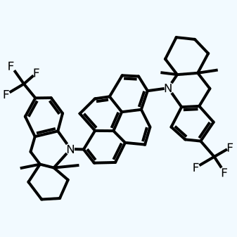 CC12CCCCC1(C)N(c1ccc3ccc4c(N5c6ccc(C(F)(F)F)cc6CC6(C)CCCCC56C)ccc5ccc1c3c54)c1ccc(C(F)(F)F)cc1C2